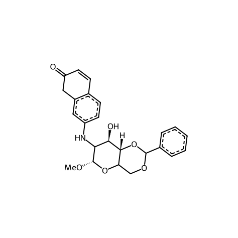 CO[C@H]1OC2COC(c3ccccc3)O[C@H]2[C@H](O)C1Nc1ccc2c(c1)CC(=O)C=C2